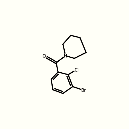 O=C(c1cccc(Br)c1Cl)N1CCCCC1